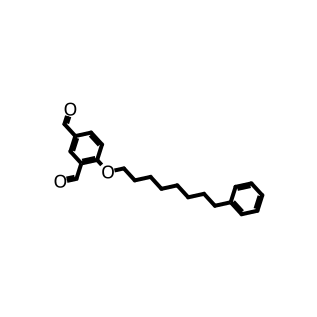 O=Cc1ccc(OCCCCCCCCc2ccccc2)c(C=O)c1